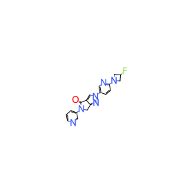 O=C1c2cn(-c3ccc(N4CC(F)C4)nc3)nc2CN1c1cccnc1